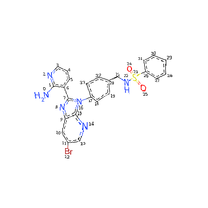 Nc1ncccc1-c1nc2cc(Br)cnc2n1-c1ccc(CNS(=O)(=O)c2ccccc2)cc1